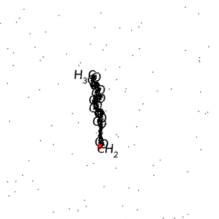 C=CC(=O)OCCCCCCOC(=O)Oc1ccc(C(=O)O[C@H]2COC3C2OC[C@@H]3OC(=O)c2ccc(OC(C)=O)cc2)cc1